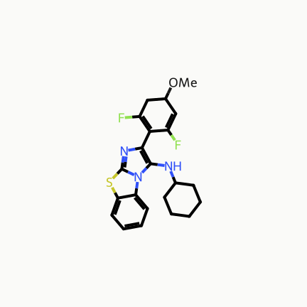 COC1C=C(F)C(c2nc3sc4ccccc4n3c2NC2CCCCC2)=C(F)C1